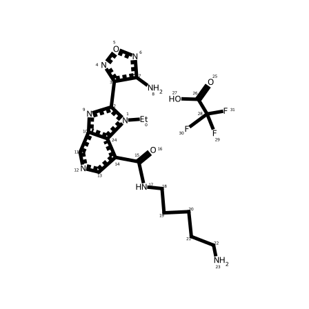 CCn1c(-c2nonc2N)nc2cncc(C(=O)NCCCCCN)c21.O=C(O)C(F)(F)F